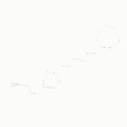 C#CCN(C)Cc1ccc(OCCNC(=O)OC2CCC=CCCC2)cc1